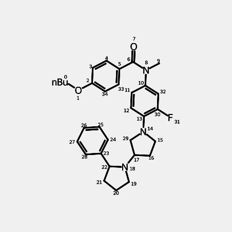 CCCCOc1ccc(C(=O)N(C)c2ccc(N3CCC(N4CCCC4c4ccccc4)C3)c(F)c2)cc1